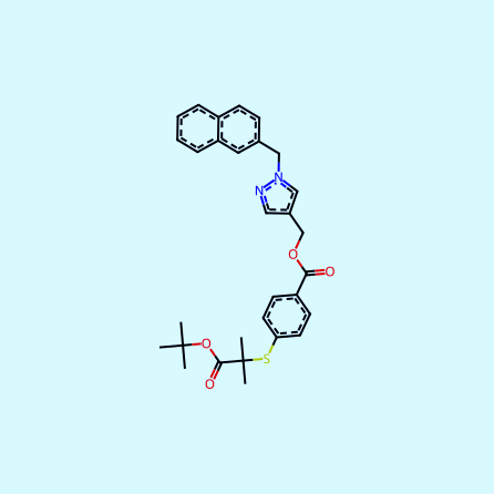 CC(C)(C)OC(=O)C(C)(C)Sc1ccc(C(=O)OCc2cnn(Cc3ccc4ccccc4c3)c2)cc1